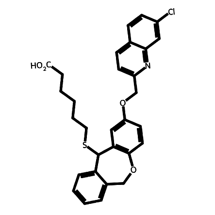 O=C(O)CCCCCSC1c2ccccc2COc2ccc(OCc3ccc4ccc(Cl)cc4n3)cc21